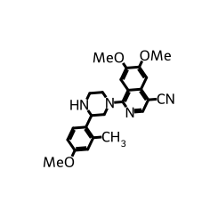 COc1ccc(C2CN(c3ncc(C#N)c4cc(OC)c(OC)cc34)CCN2)c(C)c1